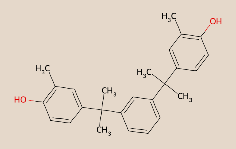 Cc1cc(C(C)(C)c2cccc(C(C)(C)c3ccc(O)c(C)c3)c2)ccc1O